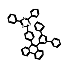 c1ccc(-c2cc(-c3ccccc3)cc(-c3c(-c4ccc(-c5nc(-c6ccccc6)nc(-c6ccccc6)n5)cc4)c4ccccc4c4ccccc34)c2)cc1